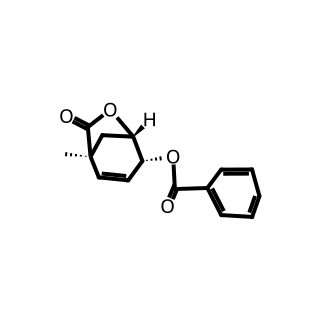 C[C@@]12C=C[C@@H](OC(=O)c3ccccc3)[C@H](C1)OC2=O